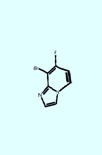 Fc1ccn2ccnc2c1Br